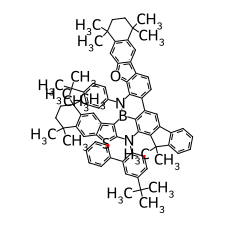 CC(C)(C)c1ccc(N2B3c4c(cc5c(c4N(c4ccc(C(C)(C)C)cc4-c4ccccc4)c4sc6cc7c(cc6c43)C(C)(C)CCC7(C)C)C(C)(C)c3ccccc3-5)-c3ccc4c(oc5cc6c(cc54)C(C)(C)CCC6(C)C)c32)cc1